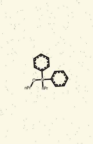 CCCO[Si](CCC)(c1ccccc1)c1ccccc1